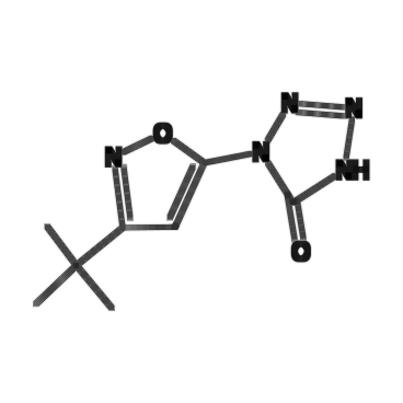 CC(C)(C)c1cc(-n2nn[nH]c2=O)on1